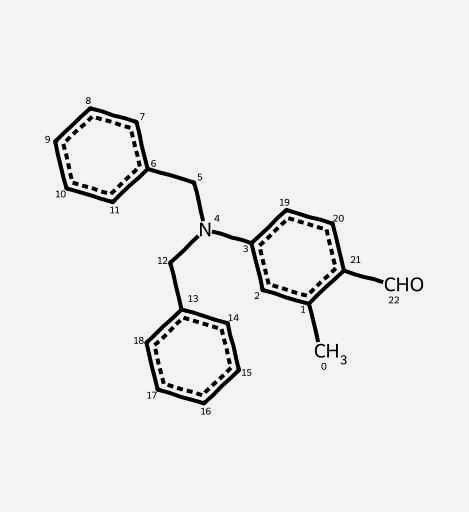 Cc1cc(N(Cc2ccccc2)Cc2ccccc2)ccc1C=O